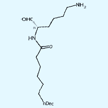 CCCCCCCCCCCCCCCC(=O)N[C@H]([C]=O)CCCCN